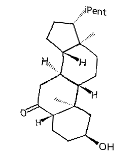 CCCC(C)[C@H]1CC[C@H]2[C@@H]3CC(=O)[C@H]4CC[C@H](O)C[C@]4(C)[C@H]3CC[C@]12C